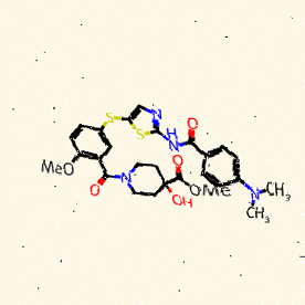 COC(=O)C1(O)CCN(C(=O)c2cc(Sc3cnc(NC(=O)c4ccc(N(C)C)cc4)s3)ccc2OC)CC1